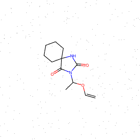 C=COC(C)N1C(=O)NC2(CCCCC2)C1=O